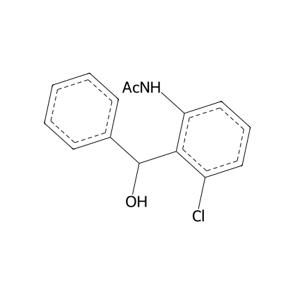 CC(=O)Nc1cccc(Cl)c1C(O)c1ccccc1